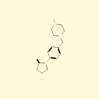 CN1CCN(Cc2ccc(N3C[C@H](N)CC3=O)cc2)CC1